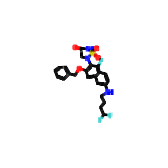 O=C1CN(c2c(OCc3ccccc3)cc3cc(NCCCC(F)F)ccc3c2F)S(=O)(=O)N1